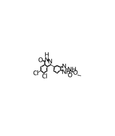 CCOC(=O)Nc1nc2cc(-c3n[nH]c(=O)c4cc(Cl)c(Cl)cc34)ccc2[nH]1